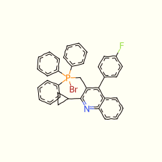 Fc1ccc(-c2c(CP(Br)(c3ccccc3)(c3ccccc3)c3ccccc3)c(C3CC3)nc3ccccc23)cc1